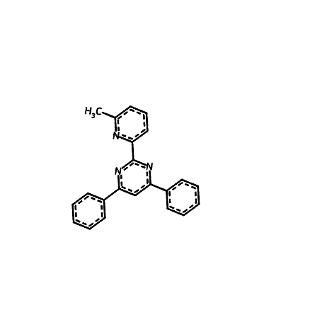 Cc1cccc(-c2nc(-c3ccccc3)cc(-c3ccccc3)n2)n1